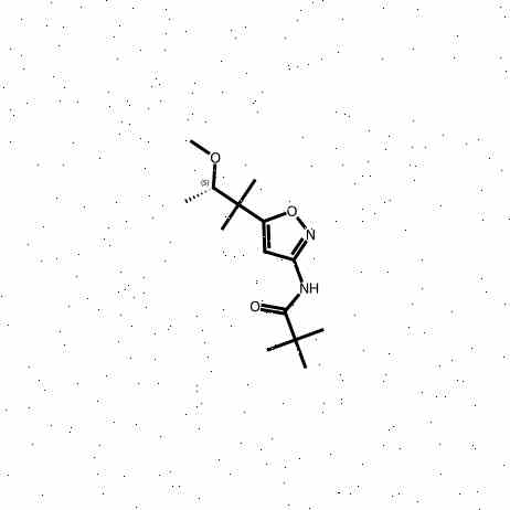 CO[C@@H](C)C(C)(C)c1cc(NC(=O)C(C)(C)C)no1